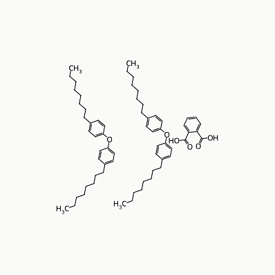 CCCCCCCCc1ccc(Oc2ccc(CCCCCCCC)cc2)cc1.CCCCCCCCc1ccc(Oc2ccc(CCCCCCCC)cc2)cc1.O=C(O)c1ccccc1C(=O)O